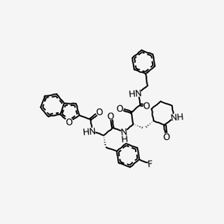 O=C(NCc1ccccc1)C(=O)[C@H](C[C@@H]1CCCNC1=O)NC(=O)[C@H](Cc1ccc(F)cc1)NC(=O)c1cc2ccccc2o1